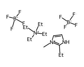 CC[N+](CC)(CC)CC.CCc1[nH]cc[n+]1C.F[B-](F)(F)F.F[B-](F)(F)F